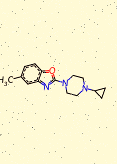 Cc1ccc2oc(N3CCN(C4CC4)CC3)nc2c1